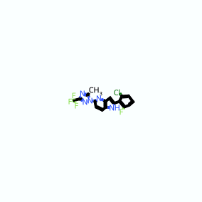 Cc1nc(C(F)(F)F)nn1-c1ccc2[nH]c(-c3c(F)cccc3Cl)cc2n1